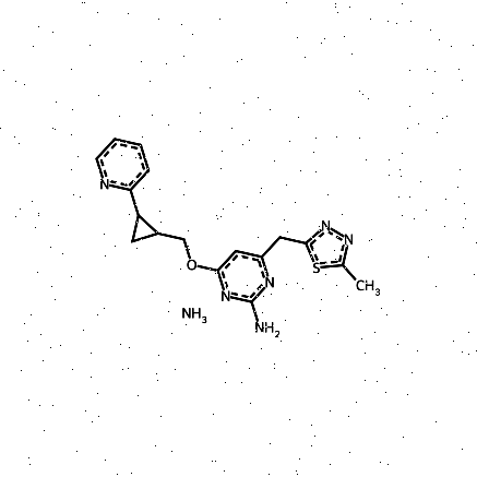 Cc1nnc(Cc2cc(OCC3CC3c3ccccn3)nc(N)n2)s1.N